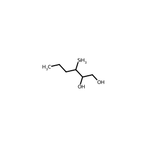 CCC[C]([SiH3])C(O)CO